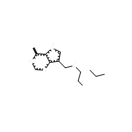 CCC[C@H](CO)NCc1c[nH]c2c(=O)[nH]cnc12